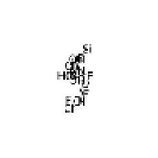 CN1C(N(COCC[Si](C)(C)C)C(=O)O)=NC(C)(c2cc(/C=C(\F)c3cc(F)c(Cl)cn3)ccc2F)CS1(O)O